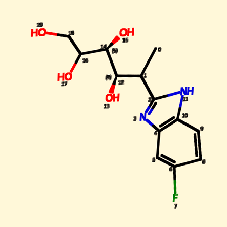 CC(c1nc2cc(F)ccc2[nH]1)[C@@H](O)[C@H](O)C(O)CO